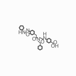 O=C(CN(CCc1ccccc1)C(=O)Cc1ccc2nc(Nc3ccccc3)oc2c1)Nc1ccc(C(=O)O)cc1